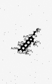 CC(=O)NC(=O)C1=C(OC(C)=O)[C@@H](N(C)C)[C@@H]2C[C@@H]3Cc4c(N(C)C)cc(NC(=O)CNC(C)(C)C)c(OC(C)=O)c4C(=O)C3=C(OC(C)=O)[C@]2(OC(C)=O)C1=O